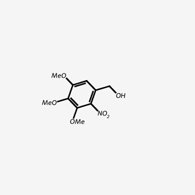 COc1cc(CO)c([N+](=O)[O-])c(OC)c1OC